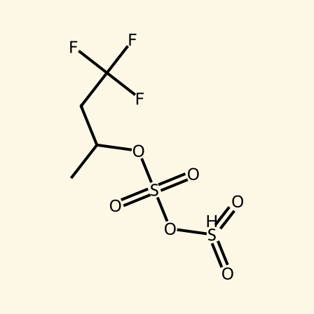 CC(CC(F)(F)F)OS(=O)(=O)O[SH](=O)=O